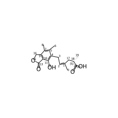 CC(=CCc1c(C)c(C)c2c(c1O)C(=O)OC2)C[C@H](C)C(=O)O